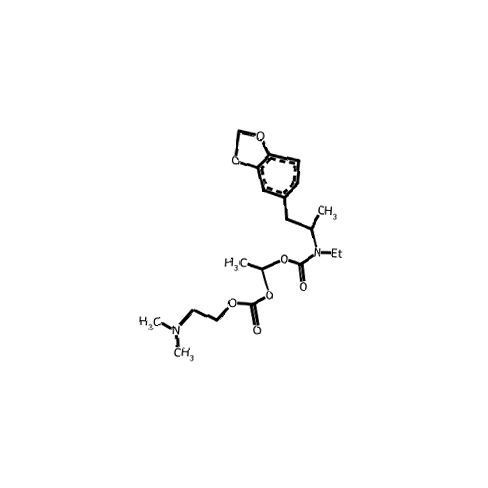 CCN(C(=O)OC(C)OC(=O)OCCN(C)C)C(C)Cc1ccc2c(c1)OCO2